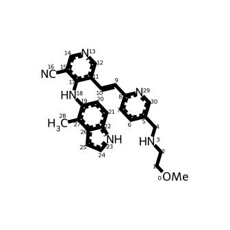 COCCNCc1ccc(C=Cc2cncc(C#N)c2Nc2ccc3[nH]ccc3c2C)nc1